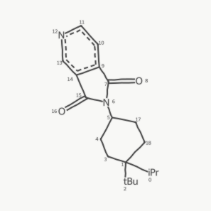 CC(C)C1(C(C)(C)C)CCC(N2C(=O)c3ccncc3C2=O)CC1